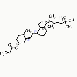 C=CC(=O)O[C@H]1CCC(=C)/C(=C\C=C2/CCC[C@@]3(C)C2CC[C@@H]3[C@H](C)CCCC(C)(C)O)C1